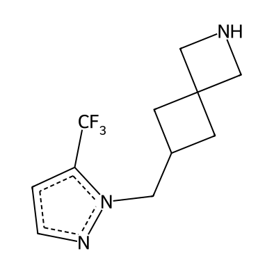 FC(F)(F)c1ccnn1CC1CC2(CNC2)C1